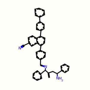 C=C(CC(N)c1ccccc1)C(/N=C/c1ccc(-c2ccc(-c3ccc(-c4ccccc4)cc3)c3ccc(C#N)cc23)cc1)c1ccccc1